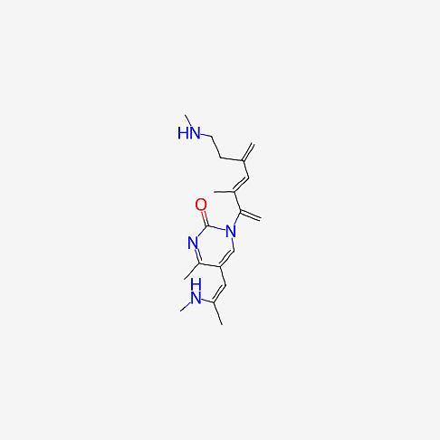 C=C(/C=C(\C)C(=C)n1cc(/C=C(/C)NC)c(C)nc1=O)CCNC